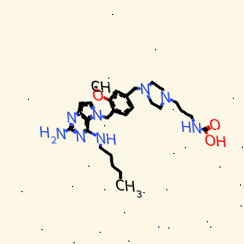 CCCCCNc1nc(N)nc2ccn(Cc3ccc(CN4CCN(CCCNC(=O)O)CC4)cc3OC)c12